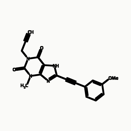 C#CCn1c(=O)c2[nH]c(C#Cc3cccc(OC)c3)nc2n(C)c1=O